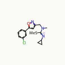 CS/C(=N\C1CC1)N(C)Cc1cc(-c2cccc(Cl)c2)on1